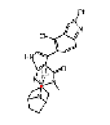 CCn1cc2c(Cl)c(-c3c[nH]c4nc(N5C6CCC5CC(N)C6)n(C)c(=O)c34)ccc2n1